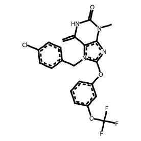 C=C1NC(=O)N(C)c2nc(Oc3cccc(OC(F)(F)F)c3)n(Cc3ccc(Cl)cc3)c21